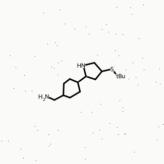 CC(C)(C)SC1CNC(C2CCC(CN)CC2)C1